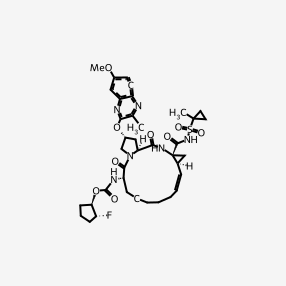 COc1ccc2nc(C)c(O[C@@H]3C[C@H]4C(=O)N[C@]5(C(=O)NS(=O)(=O)C6(C)CC6)C[C@H]5/C=C\CCCCC[C@H](NC(=O)O[C@@H]5CCC[C@H]5F)C(=O)N4C3)nc2c1